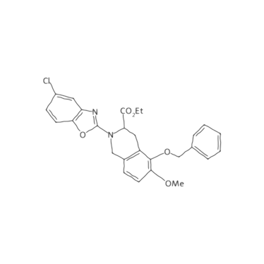 CCOC(=O)C1Cc2c(ccc(OC)c2OCc2ccccc2)CN1c1nc2cc(Cl)ccc2o1